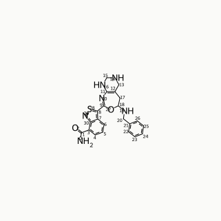 NC(=O)c1cccc2c(C3=NC4=C(CNCN4)CC(NCc4ccccc4)O3)snc12